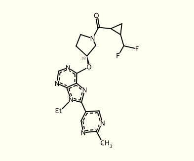 CCn1c(-c2cnc(C)nc2)nc2c(O[C@H]3CCN(C(=O)C4CC4C(F)F)C3)ncnc21